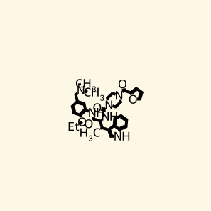 CCOc1ccc(CN(C)C)cc1NC(=O)[C@H](NC(=O)N1CCN(C(=O)c2ccco2)CC1)[C@H](C)c1c[nH]c2ccccc12